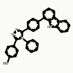 CC(C)(C)c1ccc(-c2nnc(-c3ccc(-c4cccc5c4[nH]c4ccccc45)cc3)n2-c2ccccc2)cc1